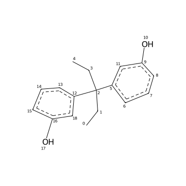 CCC(CC)(c1cccc(O)c1)c1cccc(O)c1